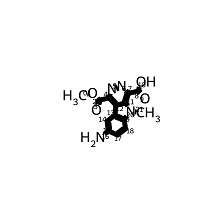 COC(=O)c1nnc(C(=O)O)c2c1c1cc(N)ccc1n2C